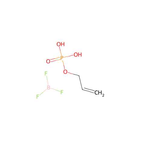 C=CCOP(=O)(O)O.FB(F)F